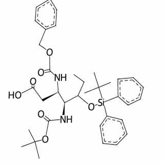 CCC(O[Si](c1ccccc1)(c1ccccc1)C(C)(C)C)[C@@H](NC(=O)OC(C)(C)C)[C@@H](CC(=O)O)NC(=O)OCc1ccccc1